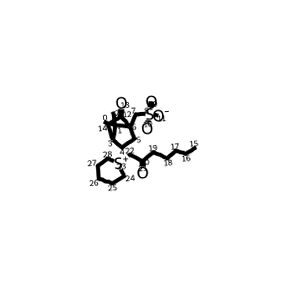 CC1(C)C2CCC1(CS(=O)(=O)[O-])C(=O)C2.CCCCCC(=O)C[S+]1CCCCC1